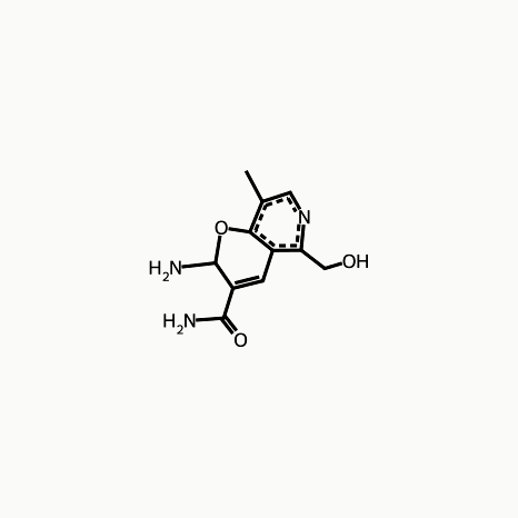 Cc1cnc(CO)c2c1OC(N)C(C(N)=O)=C2